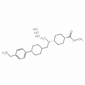 COC(=O)[C@H]1CC[C@H](N(C)CC2CCN(c3ccc(CN)cc3)CC2)CC1.Cl.Cl.Cl